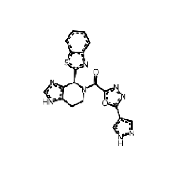 O=C(c1nnc(-c2cn[nH]c2)o1)N1CCc2[nH]cnc2[C@H]1c1nc2ccccc2s1